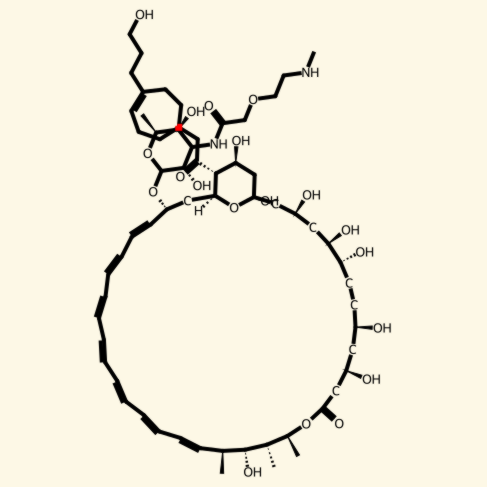 CNCCOCC(=O)NC1[C@H](O)C(O[C@H]2/C=C/C=C/C=C/C=C/C=C/C=C/C=C/[C@H](C)[C@@H](O)[C@@H](C)[C@H](C)OC(=O)C[C@H](O)C[C@H](O)CC[C@@H](O)[C@H](O)C[C@H](O)C[C@]3(O)C[C@H](O)[C@@H](C(=O)CC4CCC=C(CCCO)CC4)[C@H](C2)O3)O[C@@H](C)[C@H]1O